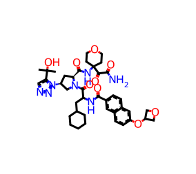 CC(C)(O)c1cnnn1[C@H]1C[C@@H](C(=O)NC2(C(=O)C(N)=O)CCOCC2)N(C(=O)C(CC2CCCCC2)NC(=O)c2ccc3cc(OC4COC4)ccc3c2)C1